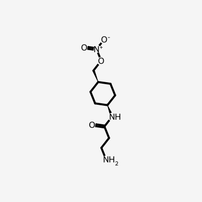 NCCC(=O)N[C@H]1CC[C@@H](CO[N+](=O)[O-])CC1